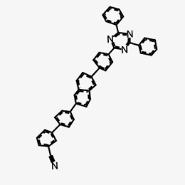 N#Cc1cccc(-c2ccc(-c3ccc4cc(-c5ccc(-c6nc(-c7ccccc7)nc(-c7ccccc7)n6)cc5)ccc4c3)cc2)c1